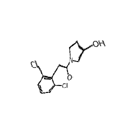 [O]C(Cc1c(Cl)cccc1Cl)N1CCC(O)C1